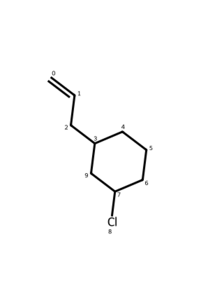 C=CCC1CCCC(Cl)C1